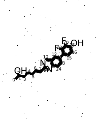 CC(O)CCCC=Cc1ncc2cc(-c3ccc(O)c(F)c3F)ccc2n1